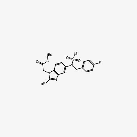 CCCc1nc2cc(N(Cc3ccc(F)cc3)S(=O)(=O)CC)ccc2n1CC(=O)OC(C)(C)C